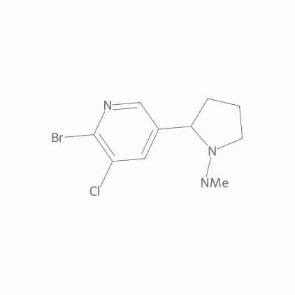 CNN1CCCC1c1cnc(Br)c(Cl)c1